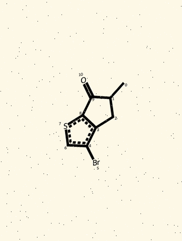 CC1Cc2c(Br)csc2C1=O